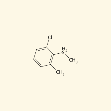 C[SiH2]c1c(C)cccc1Cl